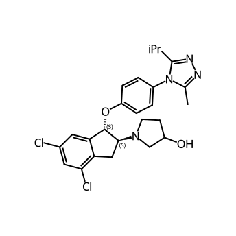 Cc1nnc(C(C)C)n1-c1ccc(O[C@H]2c3cc(Cl)cc(Cl)c3C[C@@H]2N2CCC(O)C2)cc1